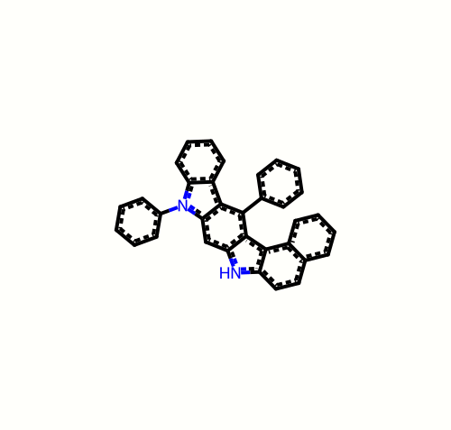 c1ccc(-c2c3c(cc4c2c2ccccc2n4-c2ccccc2)[nH]c2ccc4ccccc4c23)cc1